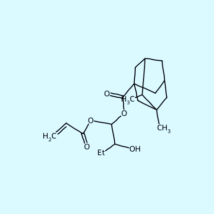 C=CC(=O)OC(OC(=O)C12CC3CC(C1)C(C)C(C)(C3)C2)C(O)CC